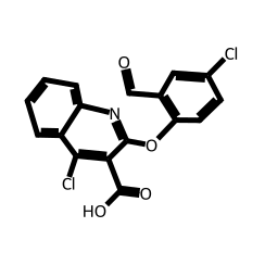 O=Cc1cc(Cl)ccc1Oc1nc2ccccc2c(Cl)c1C(=O)O